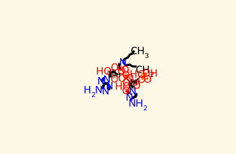 C=CCCC(=O)N(CCCCC)CC(=O)O[C@H]1[C@@H](O)[C@H](n2cnc3c(N)ncnc32)O[C@@H]1COP(=O)(O)O[C@H]1[C@@H](O)[C@H](n2ccc(N)nc2=O)O[C@@H]1COP(=O)(O)O